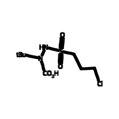 CC(C)(C)N(NS(=O)(=O)CCCCl)C(=O)O